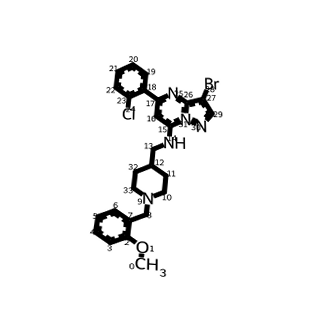 COc1ccccc1CN1CCC(CNc2cc(-c3ccccc3Cl)nc3c(Br)cnn23)CC1